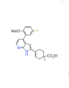 CCOC(=O)C1(C)CC=C(c2cc3c(-c4cc(F)ccc4OC)ccnc3[nH]2)CC1